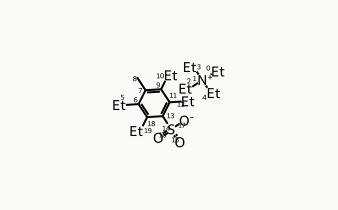 CC[N+](CC)(CC)CC.CCc1c(C)c(CC)c(CC)c(S(=O)(=O)[O-])c1CC